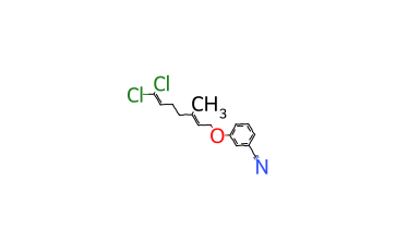 C/C(=C\COc1cccc(C#N)c1)CCC=C(Cl)Cl